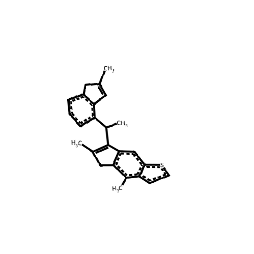 CC1=Cc2c(cccc2C(C)C2=C(C)Cc3c2cc2sccc2c3C)C1